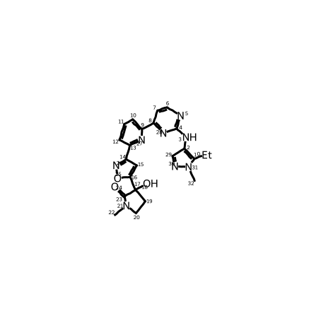 CCc1c(Nc2nccc(-c3cccc(-c4cc(C5(O)CCN(C)C5=O)on4)n3)n2)cnn1C